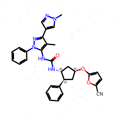 Cc1c(-c2cnn(C)c2)nn(-c2ccccc2)c1NC(=O)N[C@@H]1C[C@@H](Oc2ccc(C#N)o2)C[C@H]1c1ccccc1